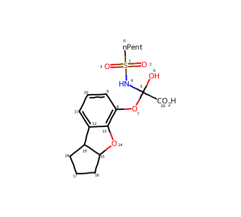 CCCCCS(=O)(=O)NC(O)(Oc1cccc2c1OC1CCCC21)C(=O)O